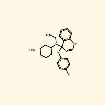 Cl.Cl.NCN(C1CCCCC1)C1(Nc2ccc(Cl)cc2)N=CNc2ccccc21